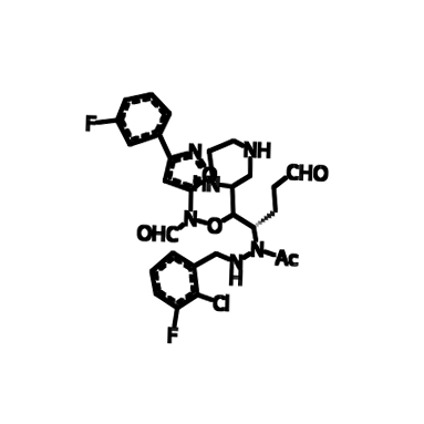 CC(=O)N(NCc1cccc(F)c1Cl)[C@@H](CCC=O)C(ON(C=O)c1cc(-c2cccc(F)c2)no1)C1CNCCN1